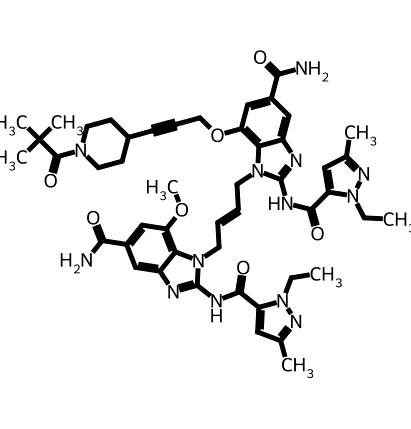 CCn1nc(C)cc1C(=O)Nc1nc2cc(C(N)=O)cc(OC)c2n1C/C=C/Cn1c(NC(=O)c2cc(C)nn2CC)nc2cc(C(N)=O)cc(OCC#CC3CCN(C(=O)C(C)(C)C)CC3)c21